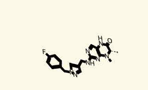 C[C@H]1C(=O)Nc2cnc(NCc3cnn(Cc4ccc(F)cc4)c3)nc2N1C